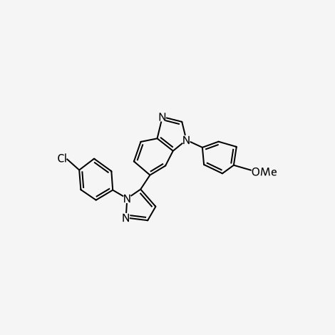 COc1ccc(-n2cnc3ccc(-c4ccnn4-c4ccc(Cl)cc4)cc32)cc1